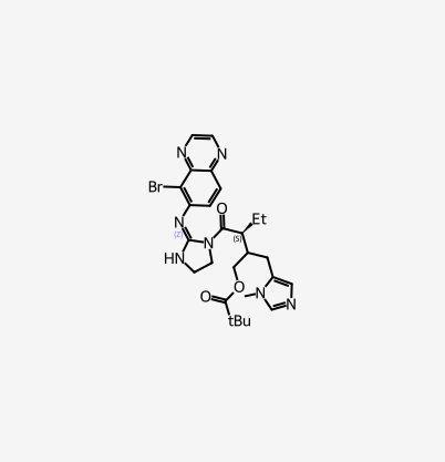 CC[C@H](C(=O)N1CCN/C1=N/c1ccc2nccnc2c1Br)C(COC(=O)C(C)(C)C)Cc1cncn1C